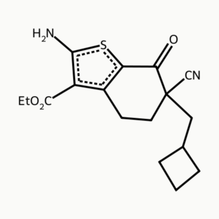 CCOC(=O)c1c(N)sc2c1CCC(C#N)(CC1CCC1)C2=O